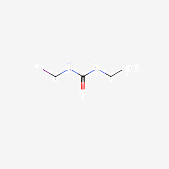 O=C(O)CNC(=O)NCI